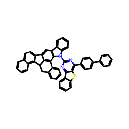 c1ccc(-c2ccc(-c3nc(-n4c5ccccc5c5cc6c7c(c54)-c4ccccc4CC7c4c-6ccc5ccccc45)nc4c3sc3ccccc34)cc2)cc1